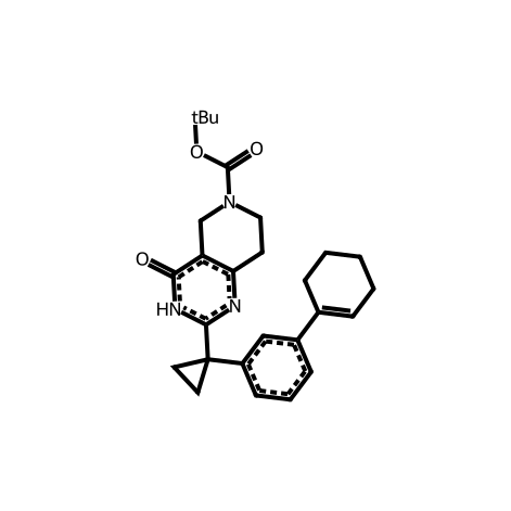 CC(C)(C)OC(=O)N1CCc2nc(C3(c4cccc(C5=CCCCC5)c4)CC3)[nH]c(=O)c2C1